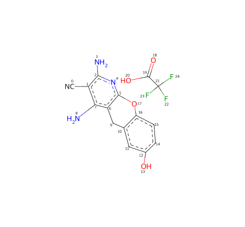 N#Cc1c(N)nc2c(c1N)Cc1cc(O)ccc1O2.O=C(O)C(F)(F)F